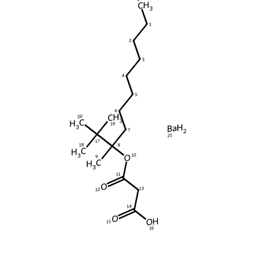 CCCCCCCCC(C)(OC(=O)CC(=O)O)C(C)(C)C.[BaH2]